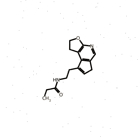 CCC(=O)NCCC1=CCc2cnc3c(c21)CCO3